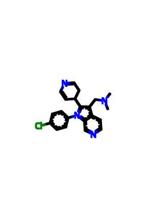 CN(C)Cc1c(C2C=CN=CC2)n(-c2ccc(Cl)cc2)c2cnccc12